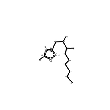 CCCCCCC(C)C(C)Cc1nc(C)no1